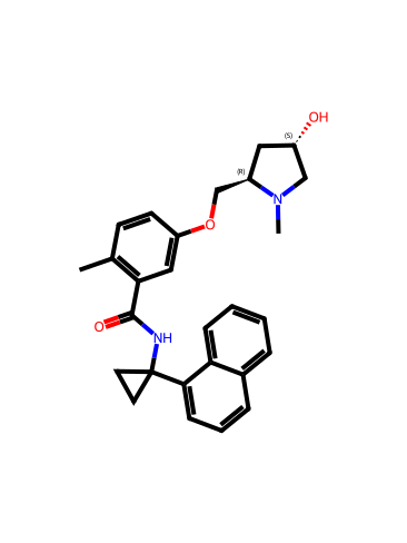 Cc1ccc(OC[C@H]2C[C@H](O)CN2C)cc1C(=O)NC1(c2cccc3ccccc23)CC1